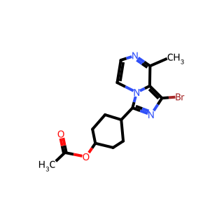 CC(=O)OC1CCC(c2nc(Br)c3c(C)nccn23)CC1